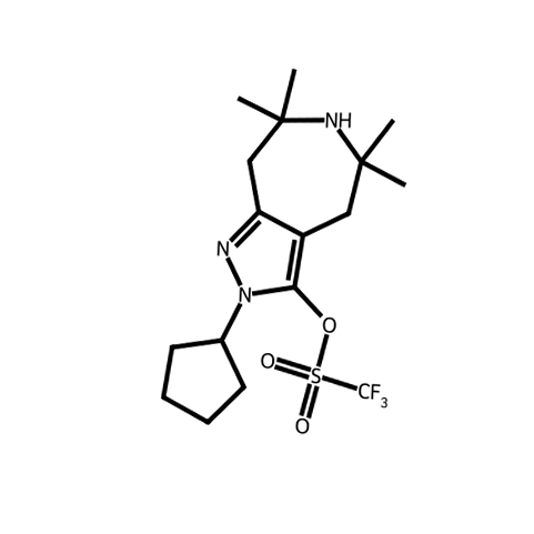 CC1(C)Cc2nn(C3CCCC3)c(OS(=O)(=O)C(F)(F)F)c2CC(C)(C)N1